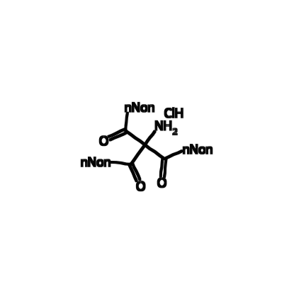 CCCCCCCCCC(=O)C(N)(C(=O)CCCCCCCCC)C(=O)CCCCCCCCC.Cl